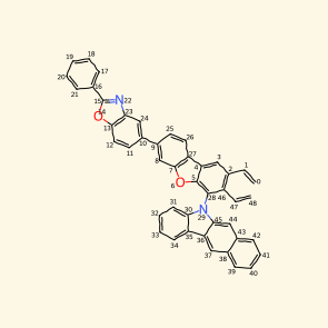 C=Cc1cc2c(oc3cc(-c4ccc5oc(-c6ccccc6)nc5c4)ccc32)c(-n2c3ccccc3c3cc4ccccc4cc32)c1C=C